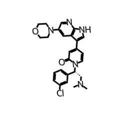 CN(C)C[C@H](c1cccc(Cl)c1)n1ccc(-c2c[nH]c3ncc(N4CCOCC4)cc23)cc1=O